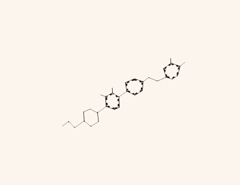 CCCC1CCC(c2ccc(-c3ccc(CCc4ccc(F)c(F)c4)cc3)c(F)c2F)CC1